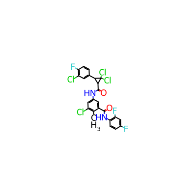 Cc1c(Cl)cc(NC(=O)C2C(c3ccc(F)c(Cl)c3)C2(Cl)Cl)cc1C(=O)Nc1ccc(F)cc1F